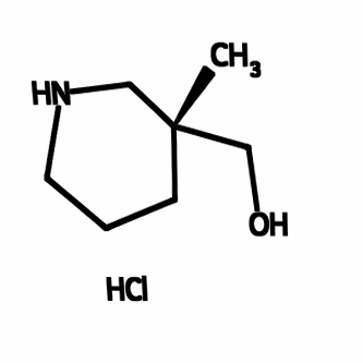 C[C@@]1(CO)CCCNC1.Cl